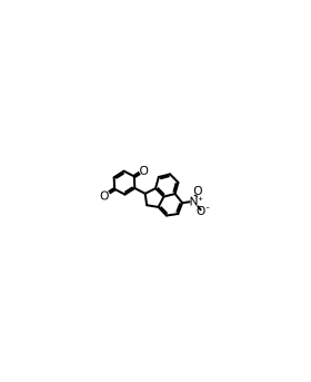 O=C1C=CC(=O)C(C2Cc3ccc([N+](=O)[O-])c4cccc2c34)=C1